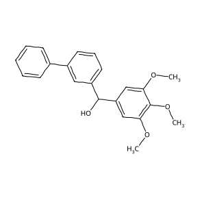 COc1cc(C(O)c2cccc(-c3ccccc3)c2)cc(OC)c1OC